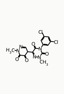 CN1N=CC(c2nn(C)c(=O)n(-c3cc(Cl)cc(Cl)c3)c2=O)C(=O)C1=O